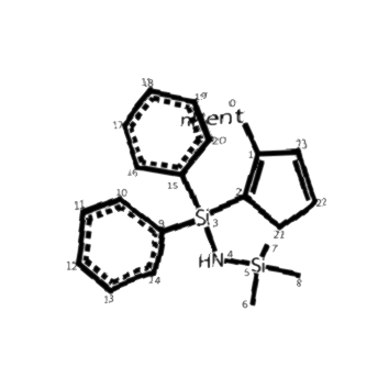 CCCCCC1=C([Si](N[Si](C)(C)C)(c2ccccc2)c2ccccc2)CC=C1